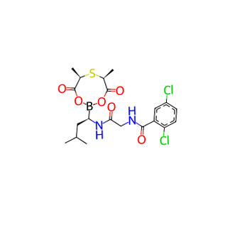 CC(C)C[C@H](NC(=O)CNC(=O)c1cc(Cl)ccc1Cl)B1OC(=O)[C@H](C)S[C@H](C)C(=O)O1